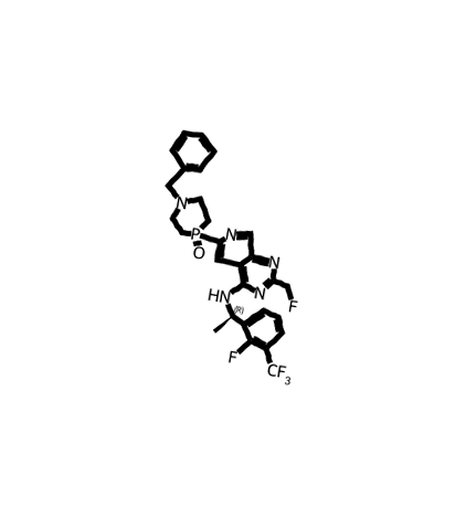 C[C@@H](Nc1nc(CF)nc2cnc(P3(=O)CCN(Cc4ccccc4)CC3)cc12)c1cccc(C(F)(F)F)c1F